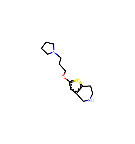 c1c(OCCCN2CCCC2)sc2c1CNCC2